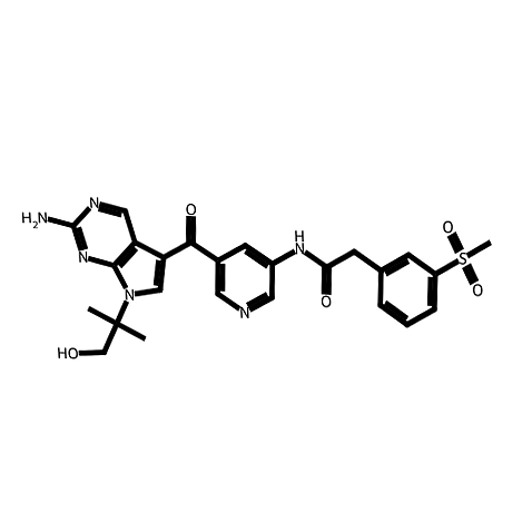 CC(C)(CO)n1cc(C(=O)c2cncc(NC(=O)Cc3cccc(S(C)(=O)=O)c3)c2)c2cnc(N)nc21